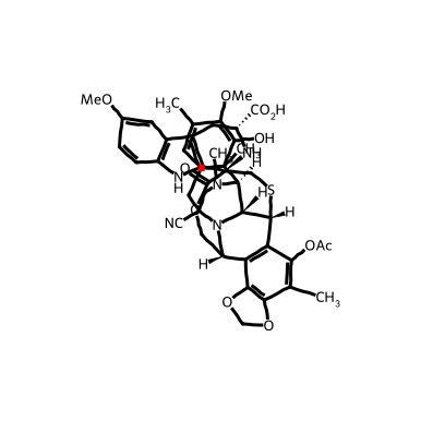 COC1=C(O)C2(C)C(C=C1C)CC1(C#N)CN(C)[C@@H]2[C@@H]2[C@@H]3SC[C@]4(N[C@@H](C(=O)O)Cc5c4[nH]c4ccc(OC)cc54)C(=O)OC[C@@H](c4c5c(c(C)c(OC(C)=O)c43)OCO5)N21